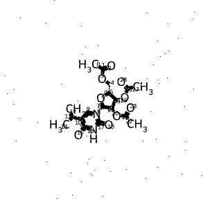 CC(=O)OC[C@H]1O[C@@H](n2cc(C(C)C)c(=O)[nH]c2=O)[C@H](OC(C)=O)[C@H]1OC(C)=O